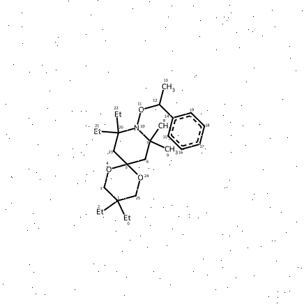 CCC1(CC)COC2(CC(C)(C)N(OC(C)c3ccccc3)C(CC)(CC)C2)OC1